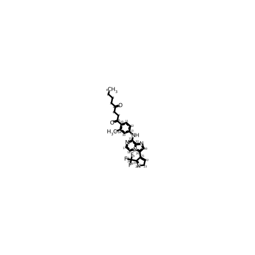 CCCCC(=O)CCC(=O)c1ccc(Nc2nccn3c(C4=CCN=C4C(F)(F)F)cnc23)cc1C